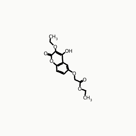 CCOC(=O)COc1ccc2oc(=O)c(OCC)c(O)c2c1